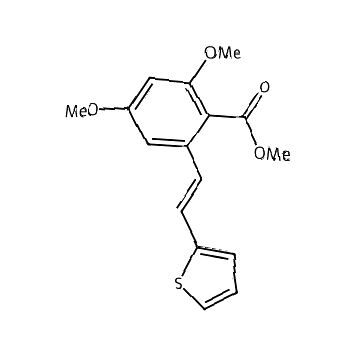 COC(=O)c1c(C=Cc2cccs2)cc(OC)cc1OC